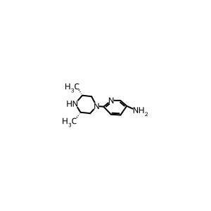 C[C@@H]1CN(c2ccc(N)cn2)C[C@H](C)N1